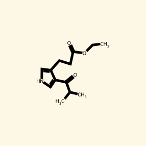 CCOC(=O)CCc1c[nH]cc1C(=O)C(C)C